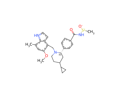 COc1cc(C)c2[nH]ccc2c1CN1CCC(C2CC2)C[C@H]1c1ccc(C(=O)N[S+](C)[O-])cc1